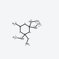 CNC1(CN)C[C](N)CC(NC)(NC)C1